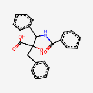 O=C(NC(c1ccccc1)C(O)(Cc1ccccc1)C(=O)O)c1ccccc1